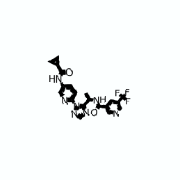 CC(NC(=O)c1cncc(C(F)(F)F)c1)c1ncnn1-c1ccc(NC(=O)C2CC2)cn1